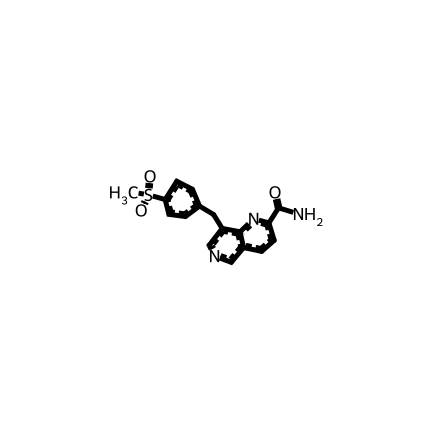 CS(=O)(=O)c1ccc(Cc2cncc3ccc(C(N)=O)nc23)cc1